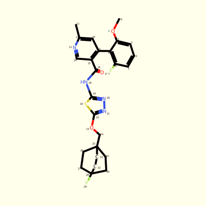 COc1cccc(F)c1-c1cc(C)ncc1C(=O)Nc1nnc(OCC23CCC(F)(CC2)CC3)s1